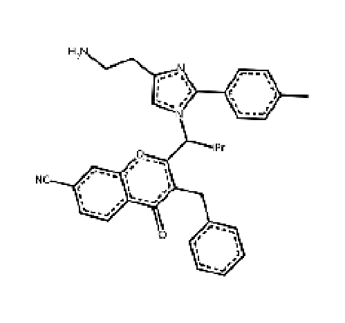 Cc1ccc(-c2nc(CCN)cn2C(c2oc3cc(C#N)ccc3c(=O)c2Cc2ccccc2)C(C)C)cc1